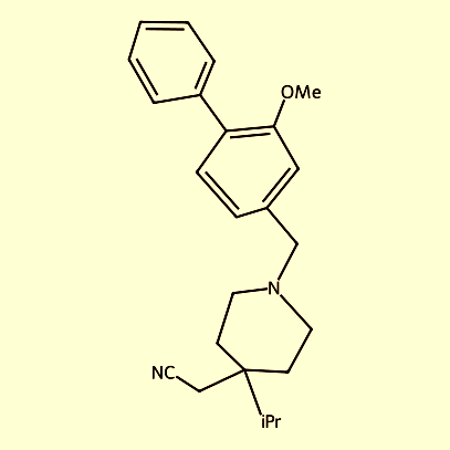 COc1cc(CN2CCC(CC#N)(C(C)C)CC2)ccc1-c1ccccc1